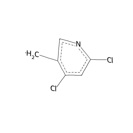 [CH2]c1cnc(Cl)cc1Cl